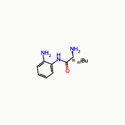 CC[C@H](C)[C@H](N)C(=O)Nc1ccccc1N